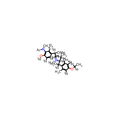 [2H]Oc1c([2H])c([2H])c([C@@]([2H])(OC)C([2H])([2H])N(C)[C@]([2H])(C([2H])([2H])C)C([2H])(C)c2c(C)c([2H])c(OC([2H])([2H])C)c([2H])c2C)c(C)c1N(C)C(C)=O